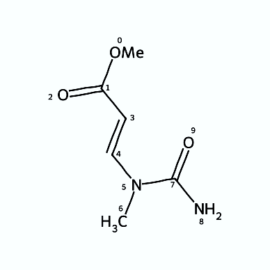 COC(=O)/C=C/N(C)C(N)=O